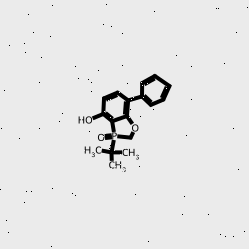 CC(C)(C)P1(=O)COc2c(-c3ccccc3)ccc(O)c21